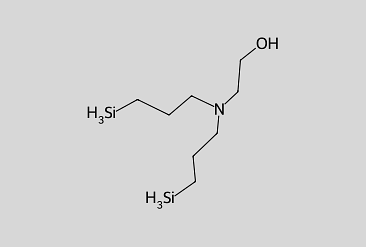 OCCN(CCC[SiH3])CCC[SiH3]